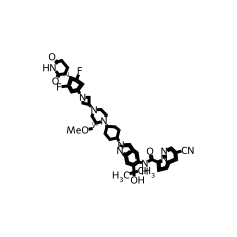 COC[C@@H]1CN(C2CN(c3cc(F)c([C@H]4CCC(=O)NC4=O)c(F)c3)C2)CCN1C1CCC(n2cc3cc(NC(=O)c4ccc5cc(C#N)cnn45)c(C(C)(C)O)cc3n2)CC1